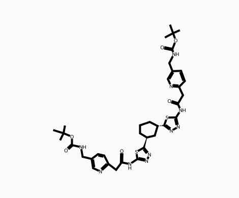 CC(C)(C)OC(=O)NCc1ccc(CC(=O)Nc2nnc([C@H]3CCC[C@H](c4nnc(NC(=O)Cc5ccc(CNC(=O)OC(C)(C)C)cn5)s4)C3)s2)nc1